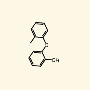 Oc1ccccc1Oc1ccccc1I